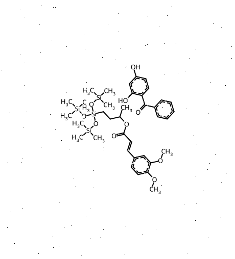 COc1ccc(C=CC(=O)OC(C)CC[Si](O[Si](C)(C)C)(O[Si](C)(C)C)O[Si](C)(C)C)cc1OC.O=C(c1ccccc1)c1ccc(O)cc1O